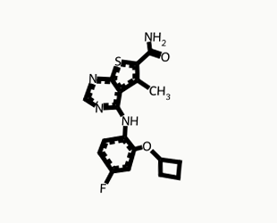 Cc1c(C(N)=O)sc2ncnc(Nc3ccc(F)cc3OC3CCC3)c12